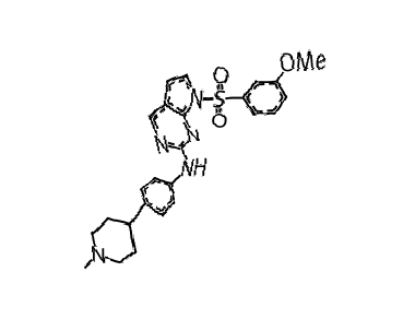 COc1cccc(S(=O)(=O)n2ccc3cnc(Nc4ccc(C5CCN(C)CC5)cc4)nc32)c1